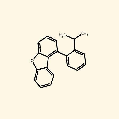 CC(C)c1ccccc1-c1cccc2oc3ccccc3c12